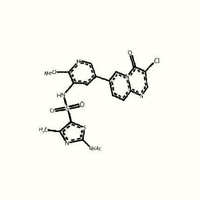 COc1ncc(-c2ccc3ncc(Cl)c(=O)n3c2)cc1NS(=O)(=O)c1sc(NC(C)=O)nc1C